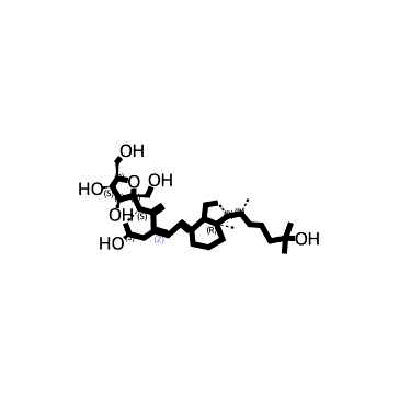 C=C1/C(=C\C=C2CCC[C@@]3(C)C2CC[C@@H]3[C@H](C)CCCC(C)(C)O)C[C@@H](O)C[C@@H]1[C@@]1(CO)O[C@H](CO)[C@@H](O)[C@@H]1O